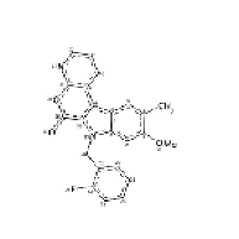 COc1cc2c(cc1C)c1c3cccnc3oc(=O)c1n2Cc1ccccc1F